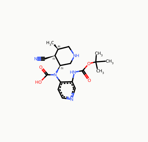 C[C@H]1CNC[C@@H](N(C(=O)O)c2ccncc2NC(=O)OC(C)(C)C)[C@H]1C#N